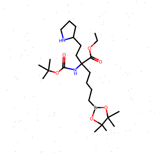 CCOC(=O)C(CCCCB1OC(C)(C)C(C)(C)O1)(CCC1CCCN1)NC(=O)OC(C)(C)C